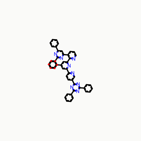 c1ccc(-c2cc(-c3ccc(-c4nc(-c5ccccc5)nc(-c5ccccc5)n4)cn3)nc(-c3ncccc3-c3cc(-c4ccccc4)nc(-c4ccccc4)n3)c2)cc1